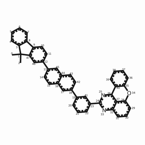 CC1(C)c2ccccc2-c2ccc(-c3ccc4cc(-c5cccc(-c6nc7c8c(cccc8n6)Oc6ccccc6-7)c5)ccc4c3)cc21